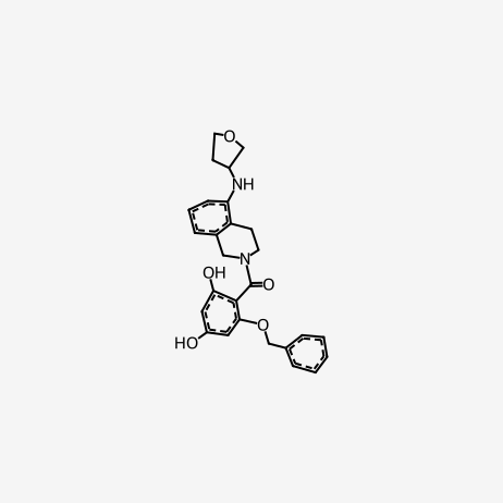 O=C(c1c(O)cc(O)cc1OCc1ccccc1)N1CCc2c(cccc2NC2CCOC2)C1